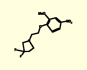 COc1cc([N+](=O)[O-])ccc1OCCN1CCC(F)(F)C1